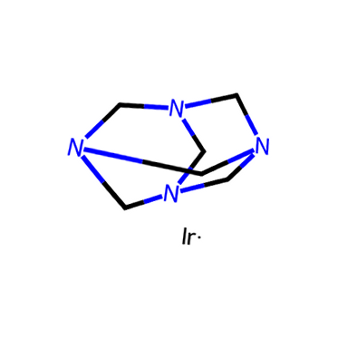 C1N2CN3CN1CN(C2)C3.[Ir]